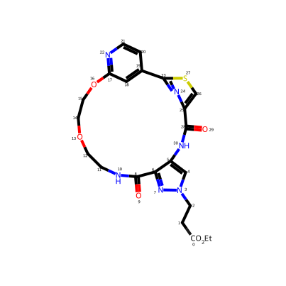 CCOC(=O)CCn1cc2c(n1)C(=O)NCCOCCOc1cc(ccn1)-c1nc(cs1)C(=O)N2